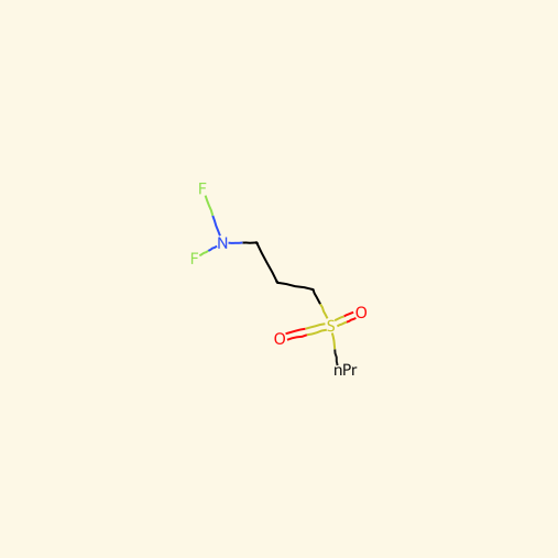 CCCS(=O)(=O)CCCN(F)F